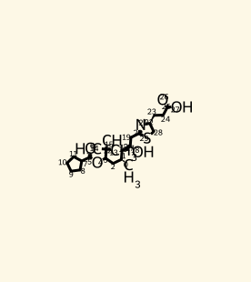 C[C@H](CC(OC(=O)C1CCCC1)C(C)(C)C)C[C@H](O)CC1=N[C@@H](CCC(=O)O)CS1